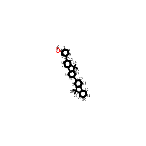 COc1cccc(-c2ccc3c(c2)C(C)(C)c2cc(-c4ccc5c(c4)C(C)(C)c4ccccc4-5)ccc2-3)c1